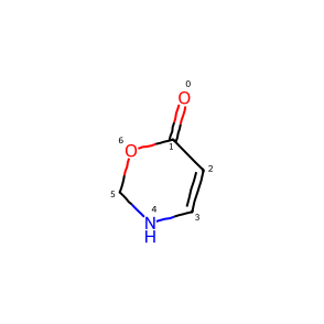 O=C1C=CNCO1